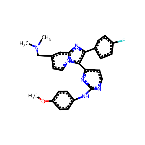 COc1ccc(Nc2nccc(-c3c(-c4ccc(F)cc4)nc4cc(CN(C)C)ccn34)n2)cc1